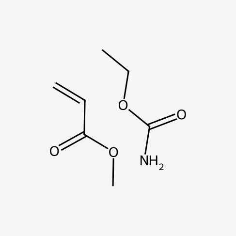 C=CC(=O)OC.CCOC(N)=O